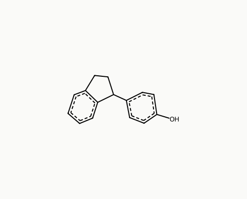 Oc1ccc(C2CCc3ccccc32)cc1